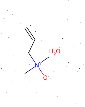 C=CC[N+](C)(C)[O-].O